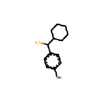 CCCCc1ccc(C(P)[C]2CCCCC2)cc1